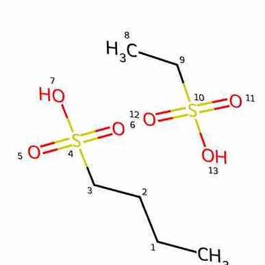 CCCCS(=O)(=O)O.CCS(=O)(=O)O